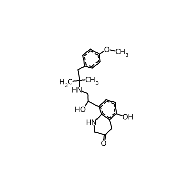 COc1ccc(CC(C)(C)NCC(O)c2ccc(O)c3c2NCC(=O)C3)cc1